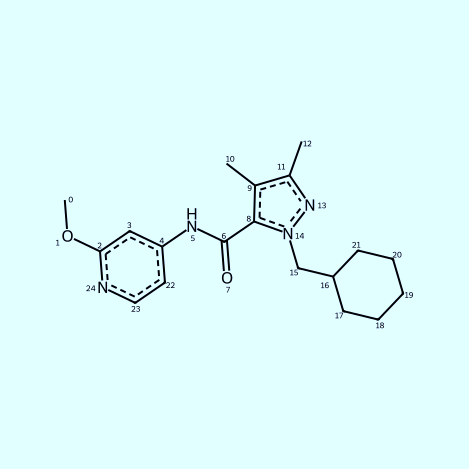 COc1cc(NC(=O)c2c(C)c(C)nn2CC2CCCCC2)ccn1